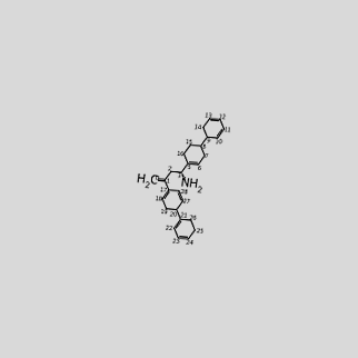 C=C(C[C@H](N)C1=CCC(C2C=CC=CC2)CC1)C1=CCC(C2=CC=CCC2)C=C1